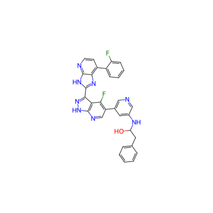 OC(Cc1ccccc1)Nc1cncc(-c2cnc3[nH]nc(-c4nc5c(-c6ccccc6F)ccnc5[nH]4)c3c2F)c1